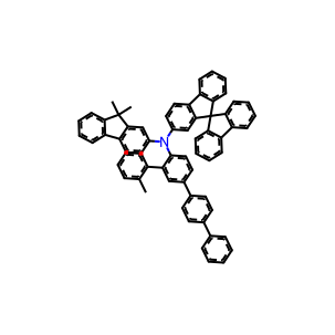 Cc1ccccc1-c1cc(-c2ccc(-c3ccccc3)cc2)ccc1N(c1ccc2c(c1)C(C)(C)c1ccccc1-2)c1ccc2c(c1)C1(c3ccccc3-c3ccccc31)c1ccccc1-2